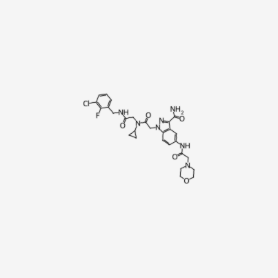 NC(=O)c1nn(CC(=O)N(CC(=O)NCc2cccc(Cl)c2F)C2CC2)c2ccc(NC(=O)CN3CCOCC3)cc12